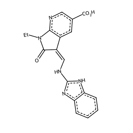 CCN1C(=O)C(=CNc2nc3ccccc3[nH]2)c2cc(C(=O)O)cnc21